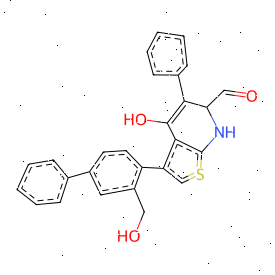 O=CC1Nc2scc(-c3ccc(-c4ccccc4)cc3CO)c2C(O)=C1c1ccccc1